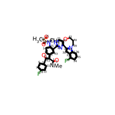 CNC(=O)c1c(-c2ccc(F)cc2)oc2cc(N(C)S(C)(=O)=O)c(-c3ncc4c(n3)-c3cc5c(F)cccc5n3CCCO4)cc12